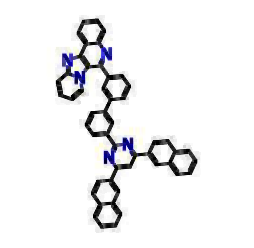 c1cc(-c2cccc(-c3nc4ccccc4c4nc5ccccn5c34)c2)cc(-c2nc(-c3ccc4ccccc4c3)cc(-c3ccc4ccccc4c3)n2)c1